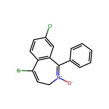 [O-][N+]1=C(c2ccccc2)c2cc(Cl)ccc2C(Br)=CC1